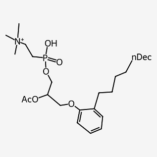 CCCCCCCCCCCCCCc1ccccc1OCC(COP(=O)(O)CC[N+](C)(C)C)OC(C)=O